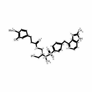 COc1ccc(CCC(=O)OC[C@H](CC(C)C)N(C)S(=O)(=O)c2ccc(Cc3nccc4[nH]c(C)nc34)cc2)cc1Cl